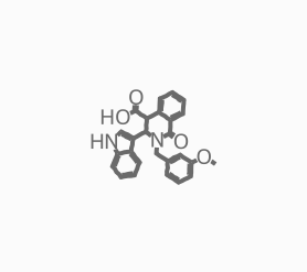 COc1cccc(CN2C(=O)c3ccccc3C(C(=O)O)C2c2c[nH]c3ccccc23)c1